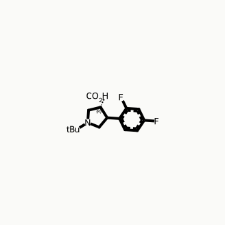 CC(C)(C)N1CC(c2ccc(F)cc2F)[C@@H](C(=O)O)C1